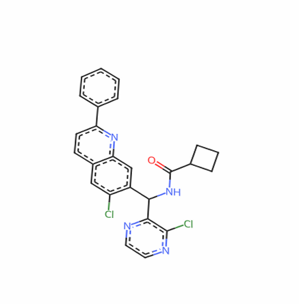 O=C(NC(c1cc2nc(-c3ccccc3)ccc2cc1Cl)c1nccnc1Cl)C1CCC1